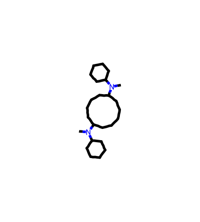 CN(C1CCCCC1)C1CCCCCC(N(C)C2CCCCC2)CCCC1